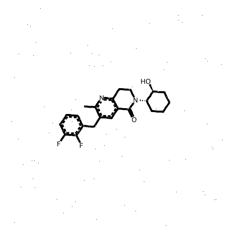 Cc1nc2c(cc1Cc1cccc(F)c1F)C(=O)N([C@H]1CCCC[C@@H]1O)CC2